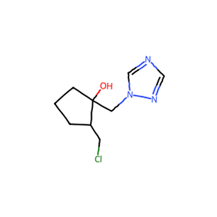 OC1(Cn2cncn2)CCCC1CCl